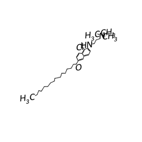 CCCCCCCCCCCCCCCC(=O)c1ccc2c(Cl)c(NCCC[N+](C)(C)C)ccc2c1